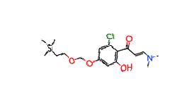 CN(C)C=CC(=O)c1c(O)cc(OCOCC[Si](C)(C)C)cc1Cl